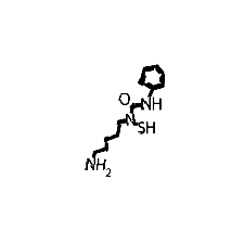 NCCCCCN(S)C(=O)Nc1ccccc1